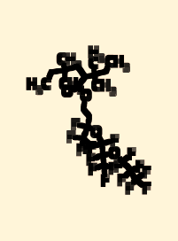 CCC(C)(C)CC(C(=O)OCCC(F)(OC(F)(F)C(F)(OC(F)(F)C(F)(F)C(F)(F)F)C(F)(F)F)C(F)(F)F)C(C)(C)CC